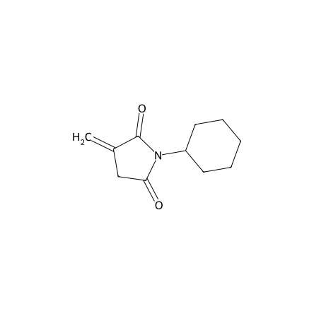 C=C1CC(=O)N(C2CCCCC2)C1=O